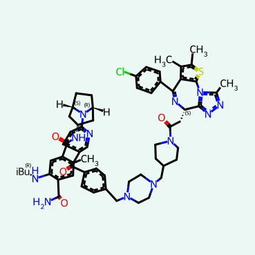 CC[C@@H](C)Nc1cc(C(=O)N[C@H]2C[C@H]3CC[C@@H](C2)N3c2ccc(C(=O)c3ccc(CN4CCN(CC5CCN(C(=O)C[C@@H]6N=C(c7ccc(Cl)cc7)c7c(sc(C)c7C)-n7c(C)nnc76)CC5)CC4)cc3)cn2)c(C)cc1C(N)=O